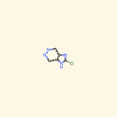 Clc1nc2cnncc2[nH]1